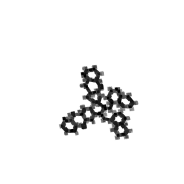 c1cnc2c(c1)Oc1cc(N(Cc3cccc4ccccc34)N(Cc3ccnc4ccccc34)c3ccc4c(c3)Oc3cccnc3S4)ccc1S2